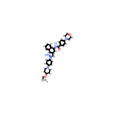 CCOC1CCN(c2ccc(N3Cc4cc(NC(=O)c5ccc(N6CCOCC6)cc5)c5ccccc5c4N3)cc2)CC1